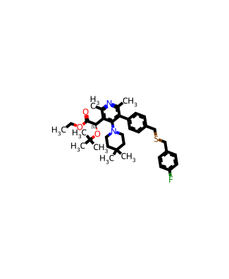 CCOC(=O)[C@@H](OC(C)(C)C)c1c(C)nc(C)c(-c2ccc(CSCc3ccc(F)cc3)cc2)c1N1CCC(C)(C)CC1